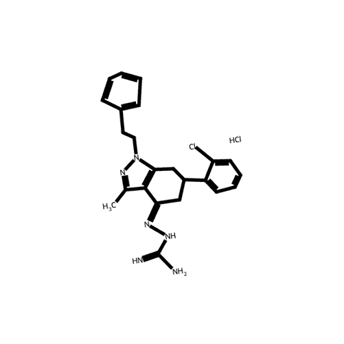 Cc1nn(CCc2ccccc2)c2c1C(=NNC(=N)N)CC(c1ccccc1Cl)C2.Cl